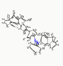 CC1(C)c2ccccc2-c2cc(N(c3ccccc3)c3ccc(-c4ccc5c(ccc6ccc7ccccc7c65)c4)cc3)ccc21